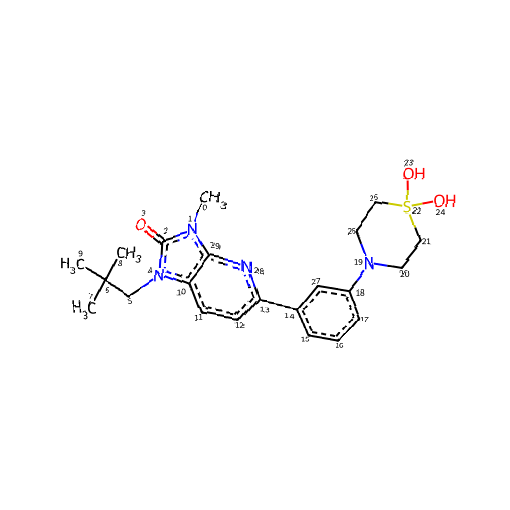 Cn1c(=O)n(CC(C)(C)C)c2ccc(-c3cccc(N4CCS(O)(O)CC4)c3)nc21